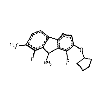 BC1c2c(ccc(C)c2F)-c2ccc(OC3CCCC3)c(F)c21